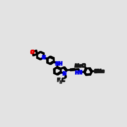 COc1cc(SC)ccc1NCC#Cc1cc2c(Nc3ccc(N4CCC5(CC4)COC5)cc3)cccc2n1CC(F)(F)F